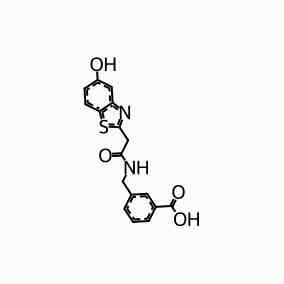 O=C(Cc1nc2cc(O)ccc2s1)NCc1cccc(C(=O)O)c1